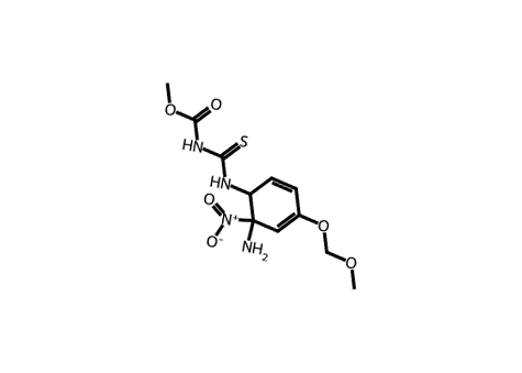 COCOC1=CC(N)([N+](=O)[O-])C(NC(=S)NC(=O)OC)C=C1